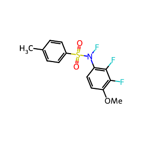 COc1ccc(N(F)S(=O)(=O)c2ccc(C)cc2)c(F)c1F